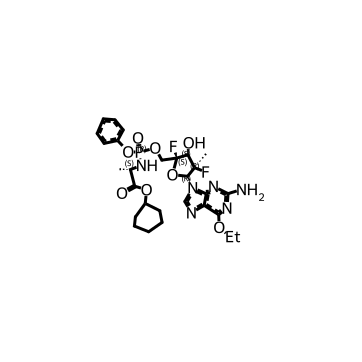 CCOc1nc(N)nc2c1ncn2[C@@H]1O[C@](F)(CO[P@](=O)(N[C@@H](C)C(=O)OC2CCCCC2)Oc2ccccc2)[C@@H](O)[C@@]1(C)F